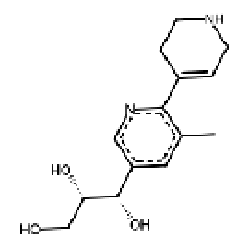 Cc1cc([C@H](O)[C@@H](O)CO)cnc1C1=CCNCC1